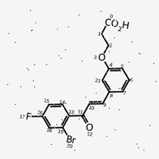 O=C(O)CCOc1cccc(/C=C/C(=O)c2ccc(F)cc2Br)c1